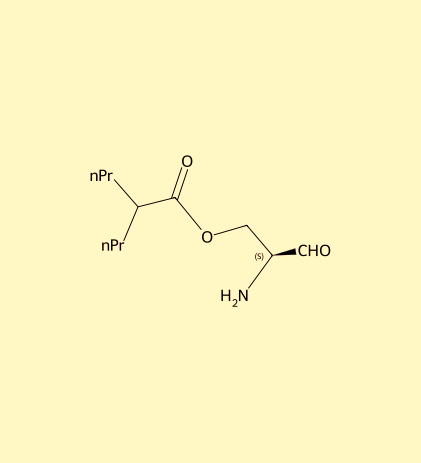 CCCC(CCC)C(=O)OC[C@H](N)C=O